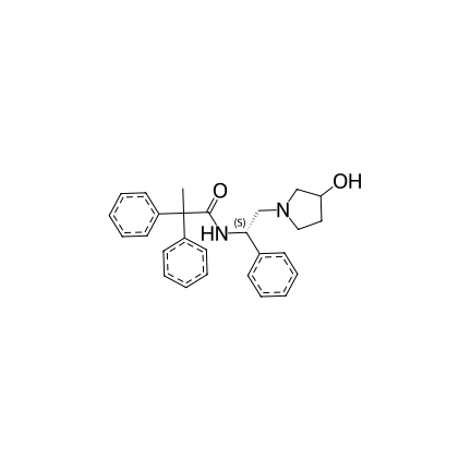 CC(C(=O)N[C@H](CN1CCC(O)C1)c1ccccc1)(c1ccccc1)c1ccccc1